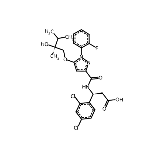 CC(C)[C@](C)(O)COc1cc(C(=O)N[C@@H](CC(=O)O)c2ccc(Cl)cc2Cl)nn1-c1ccccc1F